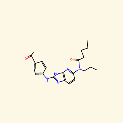 CCCCC(=O)N(CCC)c1ccc2nc(Nc3ccc(C(C)=O)cc3)[nH]c2n1